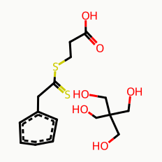 O=C(O)CCSC(=S)Cc1ccccc1.OCC(CO)(CO)CO